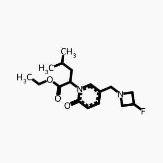 CCOC(=O)C(CC(C)C)n1cc(CN2CC(F)C2)ccc1=O